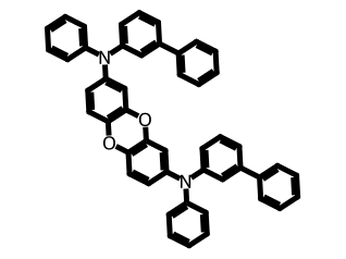 c1ccc(-c2cccc(N(c3ccccc3)c3ccc4c(c3)Oc3cc(N(c5ccccc5)c5cccc(-c6ccccc6)c5)ccc3O4)c2)cc1